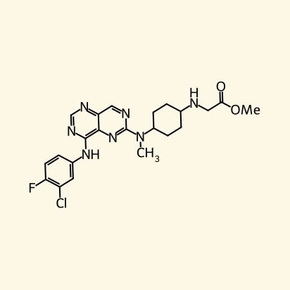 COC(=O)CNC1CCC(N(C)c2ncc3ncnc(Nc4ccc(F)c(Cl)c4)c3n2)CC1